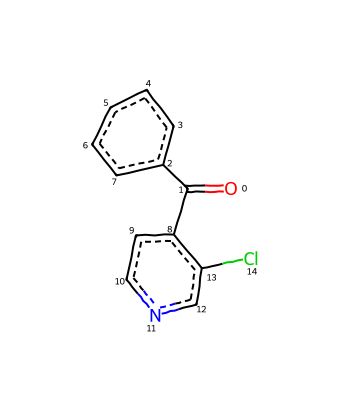 O=C(c1ccccc1)c1ccncc1Cl